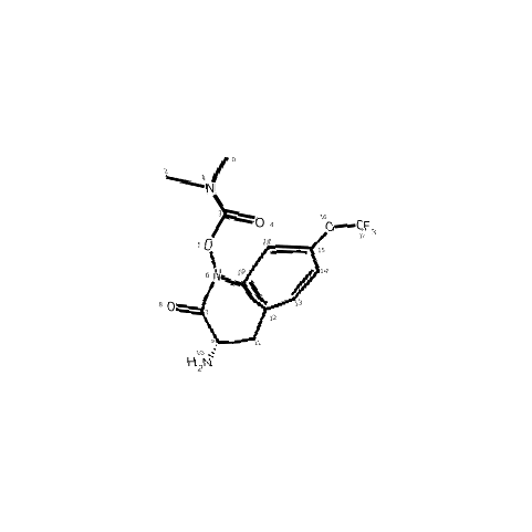 CN(C)C(=O)ON1C(=O)[C@@H](N)Cc2ccc(OC(F)(F)F)cc21